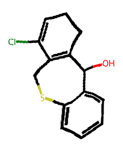 OC1C2=C(CSc3ccccc31)C(Cl)=CCC2